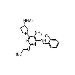 CC(=O)N[C@H]1CCN(c2nc(OCC(C)(C)C)nc(NCc3ccccc3Cl)c2N)C1